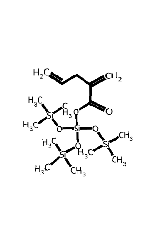 C=CCC(=C)C(=O)O[Si](O[Si](C)(C)C)(O[Si](C)(C)C)O[Si](C)(C)C